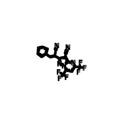 N#CC(=Cc1ccccc1)c1nn2c(C(F)(F)F)cc(C(F)(F)F)nc2c1C#N